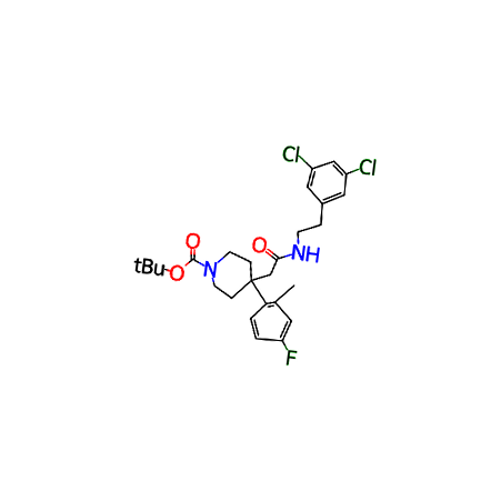 Cc1cc(F)ccc1C1(CC(=O)NCCc2cc(Cl)cc(Cl)c2)CCN(C(=O)OC(C)(C)C)CC1